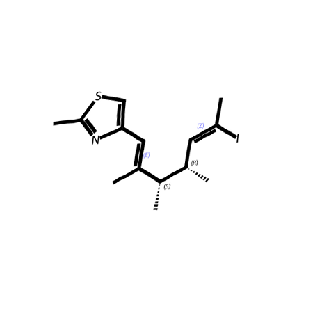 C/C(I)=C/[C@H](C)[C@H](C)/C(C)=C/c1csc(C)n1